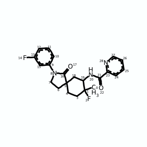 CC1(F)CCC2(CCN(c3cccc(F)c3)C2=O)CC1NC(=O)c1ccccn1